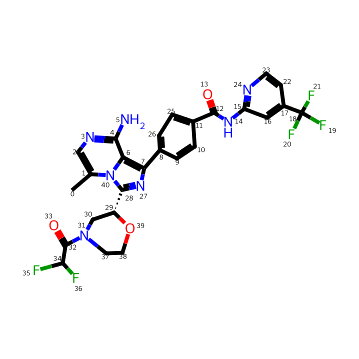 Cc1cnc(N)c2c(-c3ccc(C(=O)Nc4cc(C(F)(F)F)ccn4)cc3)nc([C@H]3CN(C(=O)C(F)F)CCO3)n12